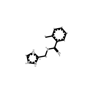 Cc1ccccc1C(=O)SCc1nnco1